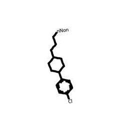 CCCCCCCCCCCCC1CCC(c2ccc(Cl)cc2)CC1